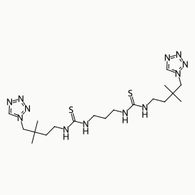 CC(C)(CCNC(=S)NCCCNC(=S)NCCC(C)(C)Cn1cnnn1)Cn1cnnn1